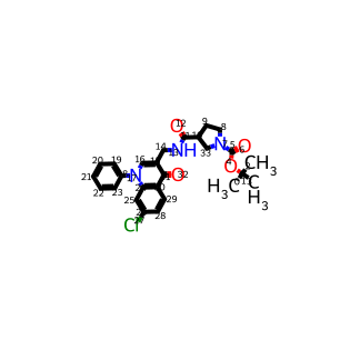 CC(C)(C)OC(=O)N1CCC(C(=O)NCc2cn(-c3ccccc3)c3cc(Cl)ccc3c2=O)C1